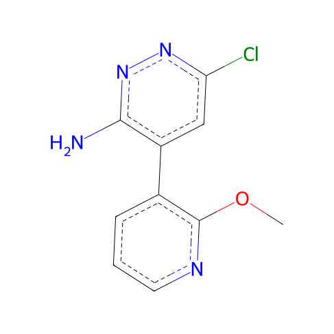 COc1ncccc1-c1cc(Cl)nnc1N